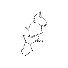 O=C(Cc1ccccc1Br)NC1CCCC1=O